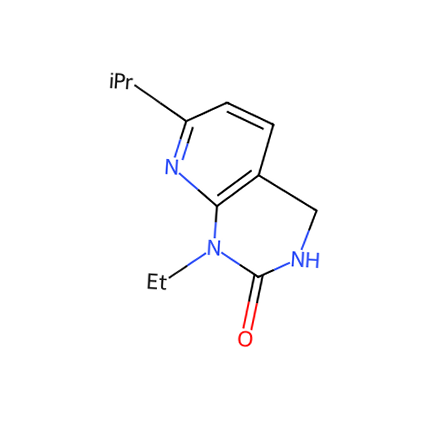 CCN1C(=O)NCc2ccc(C(C)C)nc21